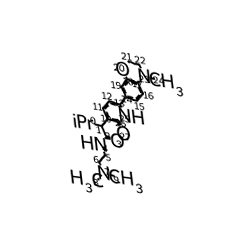 CC(C)C(C(=O)NCCN(C)C)c1ccc(-c2ccc3c(c2)OCCN3C)[nH]c1=O